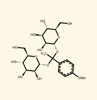 COc1ccc(C(C)(O[C@H]2O[C@H](CO)[C@@H](O)[C@H](O)[C@@H]2O)O[C@H]2O[C@H](CO)[C@@H](O)[C@H](O)[C@@H]2O)cc1